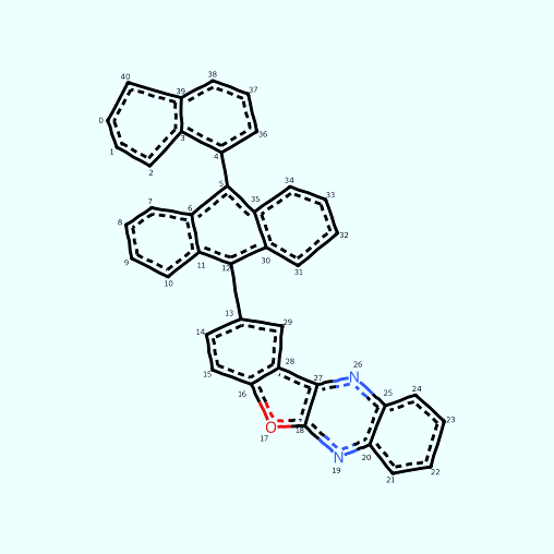 c1ccc2c(-c3c4ccccc4c(-c4ccc5oc6nc7ccccc7nc6c5c4)c4ccccc34)cccc2c1